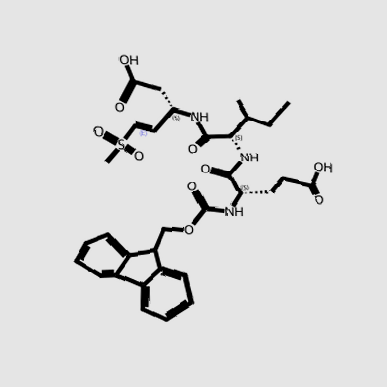 CCC(C)[C@H](NC(=O)[C@H](CCC(=O)O)NC(=O)OCC1c2ccccc2-c2ccccc21)C(=O)N[C@H](/C=C/S(C)(=O)=O)CC(=O)O